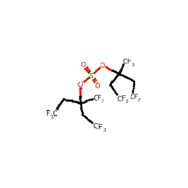 O=S(=O)(OC(CC(F)(F)F)(CC(F)(F)F)C(F)(F)F)OC(CC(F)(F)F)(CC(F)(F)F)C(F)(F)F